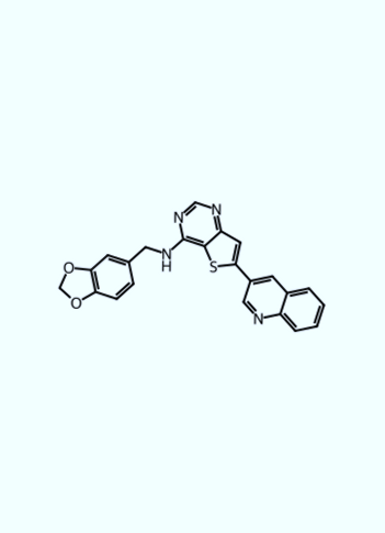 c1ccc2ncc(-c3cc4ncnc(NCc5ccc6c(c5)OCO6)c4s3)cc2c1